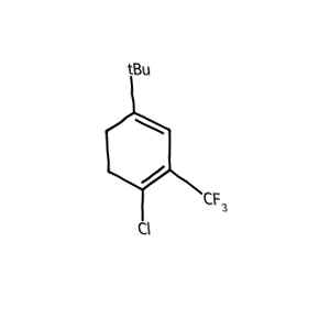 CC(C)(C)C1=CC(C(F)(F)F)=C(Cl)CC1